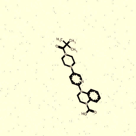 CC(C)(C)C(=O)N1CCN(c2ccc(N3CCN(C(=O)O)c4ccccc43)nc2)CC1